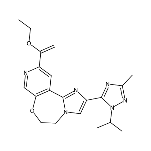 C=C(OCC)c1cc2c(cn1)OCCn1cc(-c3nc(C)nn3C(C)C)nc1-2